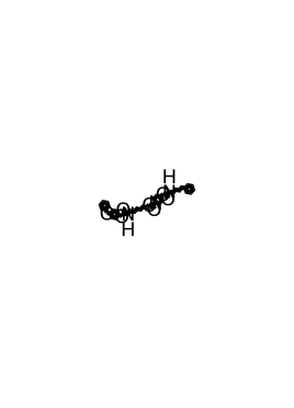 O=C(NCCCCCCOC(=O)N1CCC(OC(=O)NCCCCc2ccccc2)CC1)Oc1ccc(Oc2ccccc2)cc1